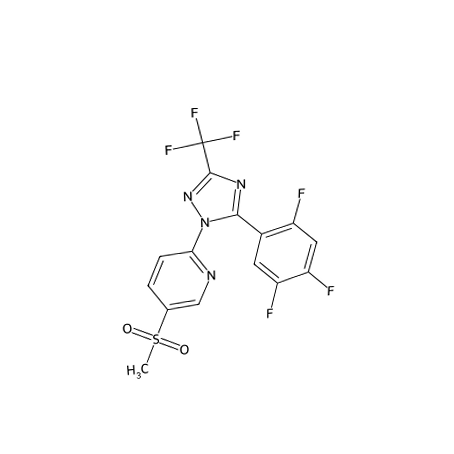 CS(=O)(=O)c1ccc(-n2nc(C(F)(F)F)nc2-c2cc(F)c(F)cc2F)nc1